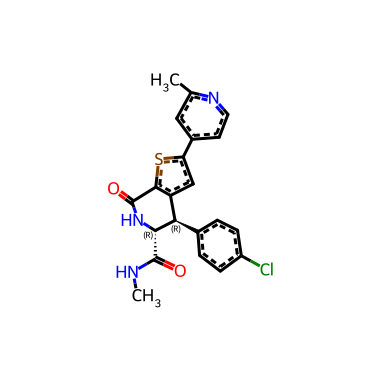 CNC(=O)[C@@H]1NC(=O)c2sc(-c3ccnc(C)c3)cc2[C@H]1c1ccc(Cl)cc1